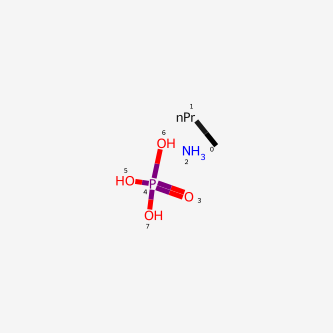 CCCC.N.O=P(O)(O)O